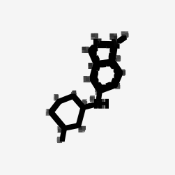 CC1CCCC(Nc2ccc3c(cnn3C)c2)C1